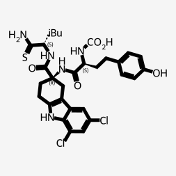 CCC(C)[C@H](NC(=O)[C@@]1(NC(=O)[C@H](CCc2ccc(O)cc2)NC(=O)O)CCc2[nH]c3c(Cl)cc(Cl)cc3c2C1)C(N)=S